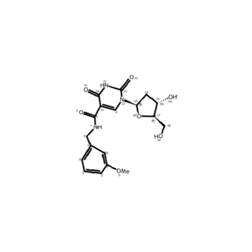 COc1cccc(CNC(=O)c2cn([C@H]3C[C@H](O)[C@@H](CO)O3)c(=O)[nH]c2=O)c1